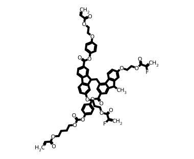 C=CC(=O)OCCCCOC(=O)Oc1ccc(OC(=O)c2cc(CC3c4cc(OCCCOC(=O)C(=C)F)ccc4-c4ccc(C(=O)Oc5ccc(OCCOC(=O)C=C)cc5)cc43)c3c(c2)C(C)c2cc(OCCOC(=O)C(=C)F)ccc2-3)cc1